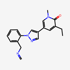 C=NCc1ccccc1-n1cc(-c2cc(CC)c(=O)n(C)c2)cn1